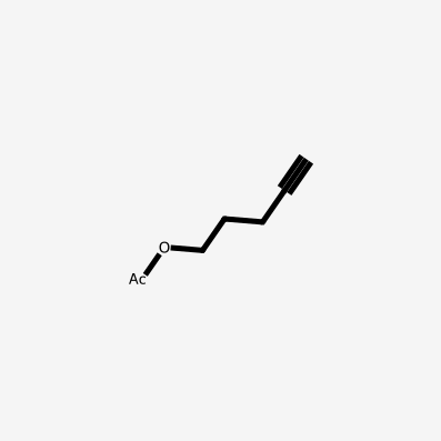 C#CCCCOC(C)=O